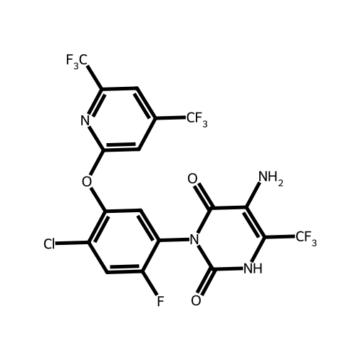 Nc1c(C(F)(F)F)[nH]c(=O)n(-c2cc(Oc3cc(C(F)(F)F)cc(C(F)(F)F)n3)c(Cl)cc2F)c1=O